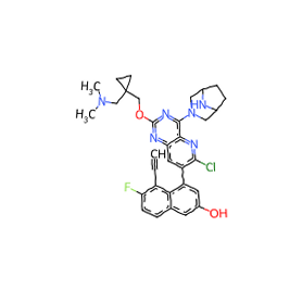 C#Cc1c(F)ccc2cc(O)cc(-c3cc4nc(OCC5(CN(C)C)CC5)nc(N5CC6CCC(C5)N6)c4nc3Cl)c12